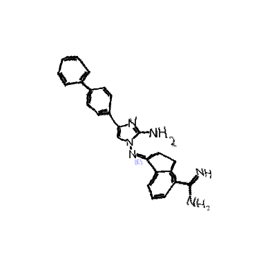 N=C(N)c1cccc2c1CC/C2=N\n1cc(-c2ccc(-c3ccccc3)cc2)nc1N